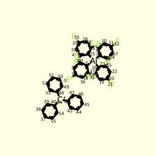 Fc1cc(F)[c]([Al-]([c]2c(F)cc(F)cc2F)([c]2c(F)cc(F)cc2F)[c]2c(F)cc(F)cc2F)c(F)c1.c1ccc([C+](c2ccccc2)c2ccccc2)cc1